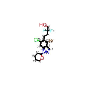 OCC(F)(F)CCc1c(Cl)cc2c(cnn2C2CCCCO2)c1Br